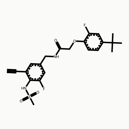 C#Cc1cc(CNC(=O)COc2ccc(C(C)(C)C)cc2F)cc(F)c1NS(C)(=O)=O